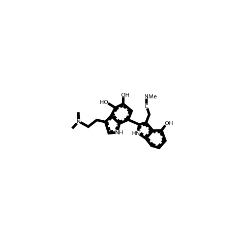 CNCCc1c(-c2cc(O)c(O)c3c(CCN(C)C)c[nH]c23)[nH]c2cccc(O)c12